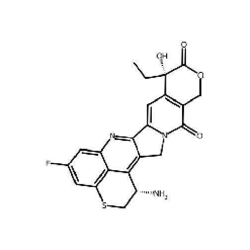 CC[C@@]1(O)C(=O)OCc2c1cc1n(c2=O)Cc2c-1nc1cc(F)cc3c1c2[C@H](N)CS3